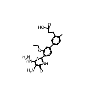 CCOc1cc(-c2ccc(C)c(CCC(=O)O)c2)ccc1-c1nc(NN)c(N)c(=O)[nH]1